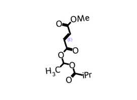 COC(=O)/C=C/C(=O)OC(C)OC(=O)C(C)C